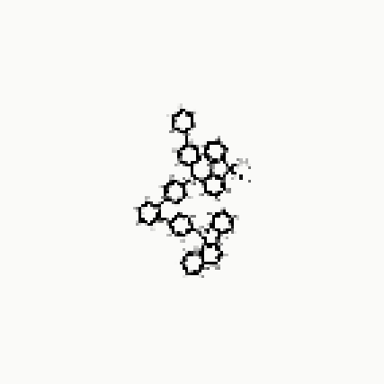 CC1(C)c2ccccc2-c2c(N(c3ccc(-c4ccccc4)cc3)c3ccc(-c4ccccc4-c4ccc(-n5c6ccccc6c6ccc7ccccc7c65)cc4)cc3)cccc21